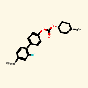 CCCCCc1ccc(-c2ccc(OC(=O)O[C@H]3CC[C@H](CCC)CC3)cc2)c(F)c1